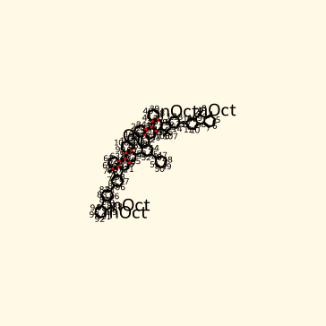 CCCCCCCCC1(CCCCCCCC)c2ccccc2-c2ccc(C3=CC4=C(CC3)c3ccc(-c5ccc6c(c5)N(c5c(-c7ccc(-c8ccccc8)cc7)cc(-c7ccccc7)cc5-c5ccc(-c7ccccc7)cc5)c5cc(-c7ccc8c(c7)C(C)(C)c7cc(-c9ccc%10c(c9)C(CCCCCCCC)(CCCCCCCC)c9ccccc9-%10)ccc7-8)ccc5O6)cc3C4(C)C)cc21